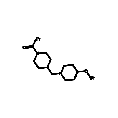 CC(C)OC1CCN(CC2CCN(C(=O)C(C)C)CC2)CC1